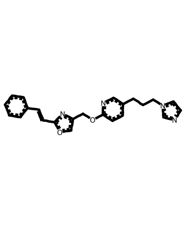 C(=Cc1nc(COc2ccc(CCCn3ccnc3)cn2)co1)c1ccccc1